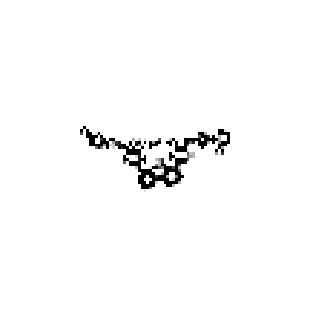 COc1nc(-c2cccc(-c3cccc(-c4cnc(CN5CC(N6CCCC6=O)C5)c(OC)n4)c3Cl)c2Cl)cnc1CNC[C@@H]1CCC(=O)N1